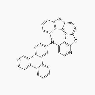 c1ccc2c(c1)c1ccccc1c1cc(-n3c4ccnc5oc6ccc7sc8cccc3c8c7c6c54)ccc21